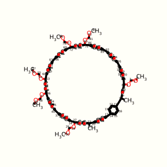 COCOC12CCC(C)(CC1)c1ccc(cc1)-c1ccc(cc1)C1(C)CCC(OCOC)(CC1)c1ccc(cc1)-c1ccc(cc1)C1(OCOC)CCC(OCOC)(CC1)c1ccc(cc1)-c1ccc(cc1)C1(OCOC)CCC(OCOC)(CC1)c1ccc(cc1)-c1ccc(cc1)-c1ccc2cc1